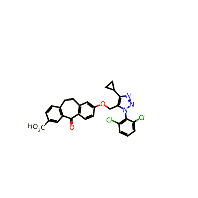 O=C(O)c1ccc2c(c1)C(=O)c1ccc(OCc3c(C4CC4)nnn3-c3c(Cl)cccc3Cl)cc1CC2